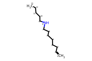 C=CCCCCCCNCCCCC